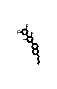 C=CCCc1ccc2cc(-c3cc(F)c(-c4cc(F)cc(F)c4)c(F)c3)ccc2c1